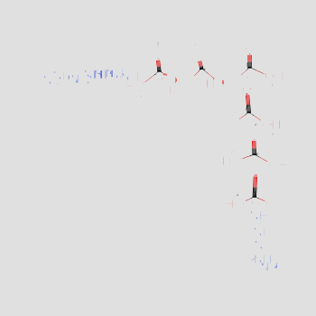 N.N.N.N.N.N.N.N.N.N.N.N.O=C(O)O.O=C(O)O.O=C(O)O.O=C(O)O.O=C(O)O.O=C(O)O